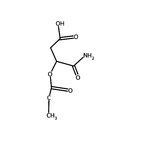 CCC(=O)OC(CC(=O)O)C(N)=O